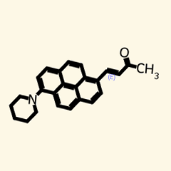 CC(=O)/C=C/c1ccc2ccc3c(N4CCCCC4)ccc4ccc1c2c43